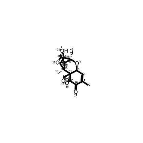 CC1=CC2O[C@@H]3[C@H](O)C[C@](C)(C2(CO)C(O)C1=O)[C@@]31O[C@@H]1C